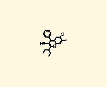 CCC(CC)c1nc2cc(F)c(Cl)cc2c(-c2ccccc2)c1C#N